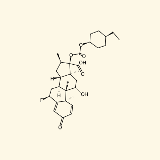 CC[C@H]1CC[C@@H](OC(=O)O[C@]2(C(=O)O)[C@H](C)C[C@H]3[C@@H]4C[C@H](F)C5=CC(=O)C=C[C@]5(C)[C@@]4(F)[C@@H](O)C[C@@]32C)CC1